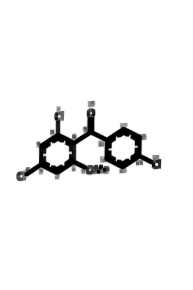 COc1cc(Cl)cc(Cl)c1C(=O)c1ccc(Cl)cc1